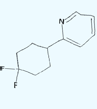 FC1(F)CCC(c2ccccn2)CC1